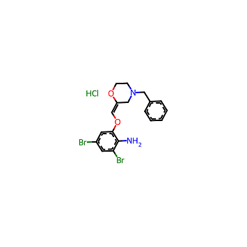 Cl.Nc1c(Br)cc(Br)cc1OC=C1CN(Cc2ccccc2)CCO1